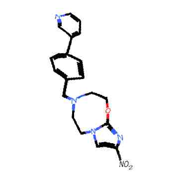 O=[N+]([O-])c1cn2c(n1)OCCN(Cc1ccc(-c3cccnc3)cc1)CC2